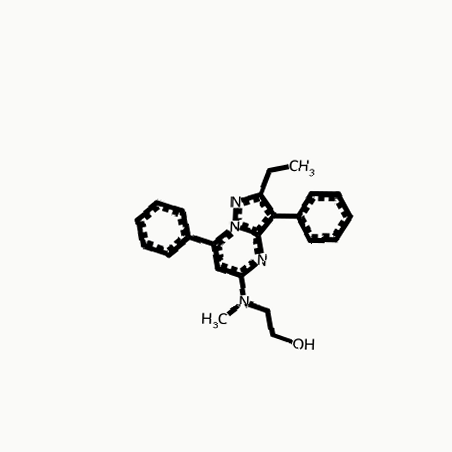 CCc1nn2c(-c3ccccc3)cc(N(C)CCO)nc2c1-c1ccccc1